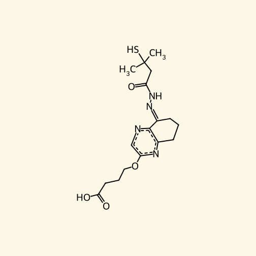 CC(C)(S)CC(=O)N/N=C1\CCCc2nc(OCCCC(=O)O)cnc21